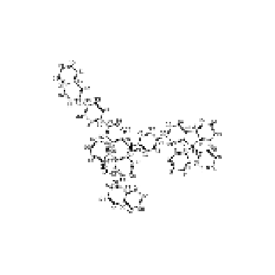 c1ccc(C2(c3ccccc3)c3ccccc3-c3ccc(-c4ccc(N(c5ccc(-c6ccc(-c7ccc8ccccc8c7)cc6)cc5)c5ccc(-c6cccc7ccccc67)c6sc7ccccc7c56)cc4)cc32)cc1